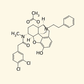 CC(=O)O[C@@]12CC[C@@H](N(C)C(=O)Cc3ccc(Cl)c(Cl)c3)[C@@H]3Oc4c(O)ccc5c4[C@@]31CCN(CCc1ccccc1)[C@@H]2C5